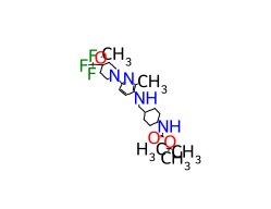 COC1(C(F)(F)F)CCN(c2ccc(NCC3CCC(NC(=O)OC(C)(C)C)CC3)c(C)n2)CC1